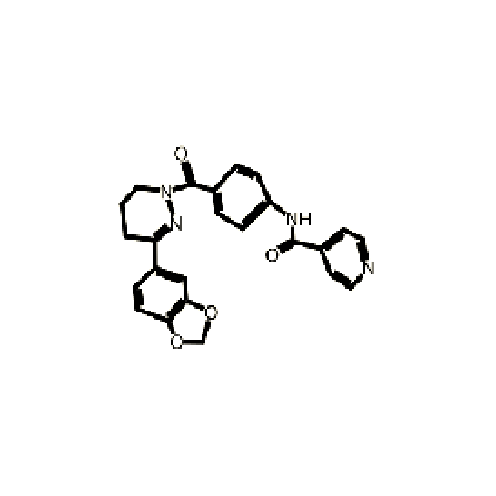 O=C(Nc1ccc(C(=O)N2CCCC(c3ccc4c(c3)OCO4)=N2)cc1)c1ccncc1